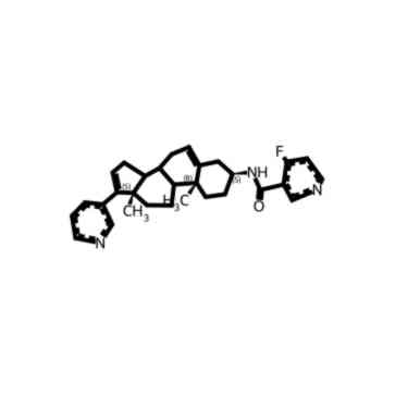 C[C@]12CC[C@H](NC(=O)c3cnccc3F)CC1=CCC1C2CC[C@]2(C)C(c3cccnc3)=CCC12